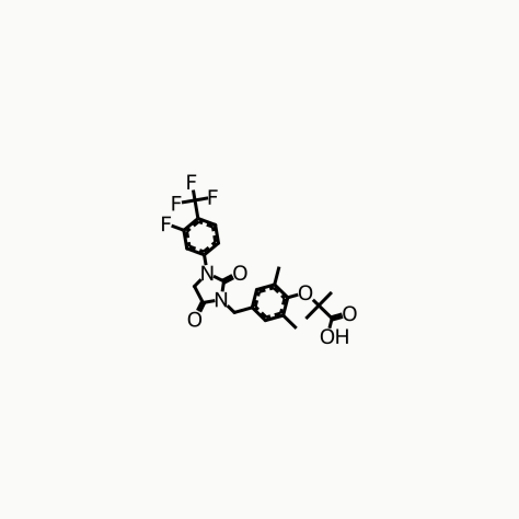 Cc1cc(CN2C(=O)CN(c3ccc(C(F)(F)F)c(F)c3)C2=O)cc(C)c1OC(C)(C)C(=O)O